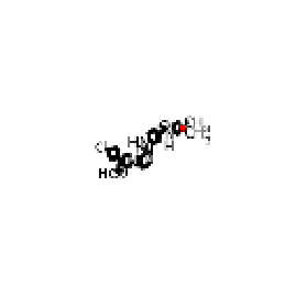 CC1CC(NC(=O)c2ccc(Nc3nc4c(N5CCC(CC(=O)O)(c6ccc(Cl)cc6)CC5)cccn4n3)cc2)CCN1C